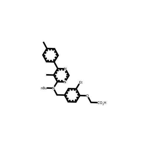 CCCCN(Cc1ccc(OCC(=O)O)c(CC)c1)c1ncnc(-c2ccc(C)cc2)c1C